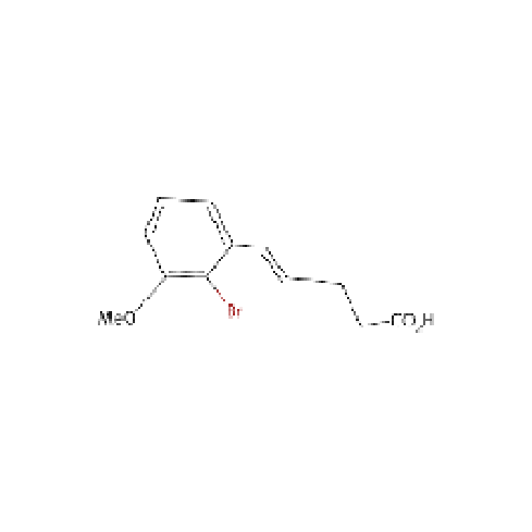 COc1cccc(C=CCCC(=O)O)c1Br